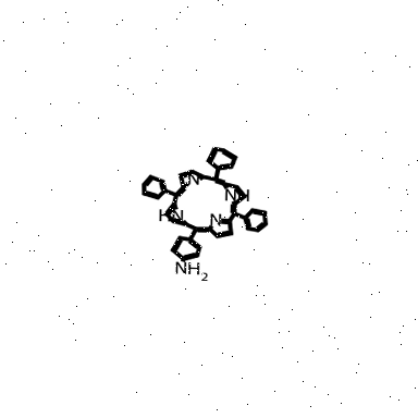 Nc1ccc(-c2c3nc(c(-c4ccccc4)c4ccc([nH]4)c(-c4ccccc4)c4nc(c(-c5ccccc5)c5ccc2[nH]5)C=C4)C=C3)cc1